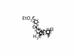 CCOC(=O)[C@H]1CC[C@@H](CC(=O)N2CCc3c(C)nn(Cc4cc(F)cc(Cl)c4)c3C2)CC1